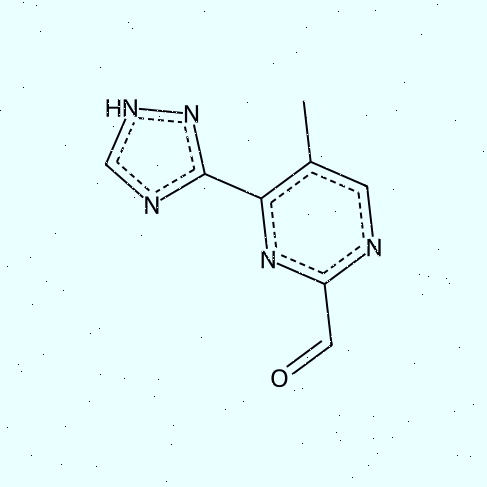 Cc1cnc(C=O)nc1-c1nc[nH]n1